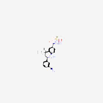 CC1(C)CC(c2cccc(C#N)c2)Nc2ccc(C(=O)NS(C)(=O)=O)cc21